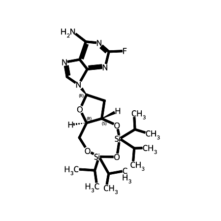 CC(C)[Si]1(C(C)C)OC[C@H]2O[C@@H](n3cnc4c(N)nc(F)nc43)C[C@@H]2O[Si](C(C)C)(C(C)C)O1